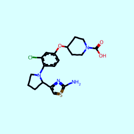 Nc1nc(C2CCCN2c2ccc(OC3CCN(C(=O)O)CC3)cc2Cl)cs1